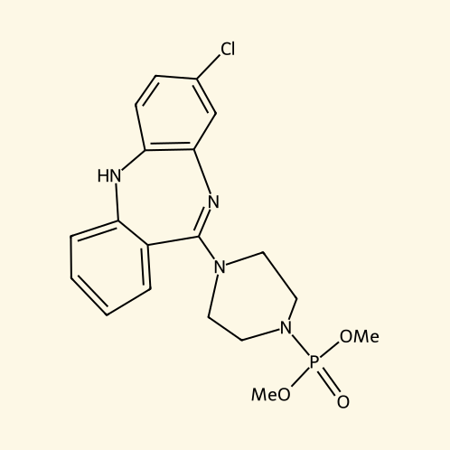 COP(=O)(OC)N1CCN(C2=Nc3cc(Cl)ccc3Nc3ccccc32)CC1